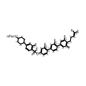 CCCCCC1CCC(c2ccc(C(F)(F)Oc3ccc(-c4ccc(-c5cc(F)c(CCC=C(F)F)c(F)c5)c(F)c4)c(F)c3)c(F)c2)CC1